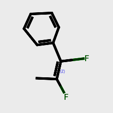 C/C(F)=C(/F)c1ccccc1